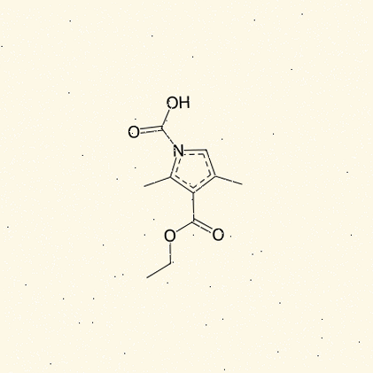 CCOC(=O)c1c(C)cn(C(=O)O)c1C